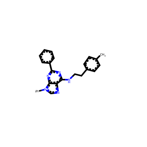 Cc1ccc(CCNc2nc(-c3ccccc3)nc3c2ncn3C(C)C)cc1